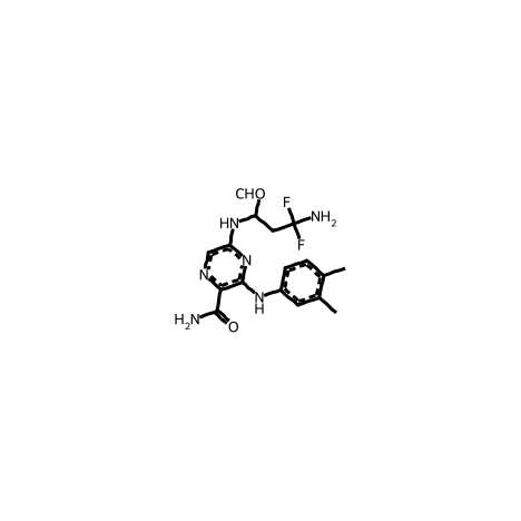 Cc1ccc(Nc2nc(NC(C=O)CC(N)(F)F)cnc2C(N)=O)cc1C